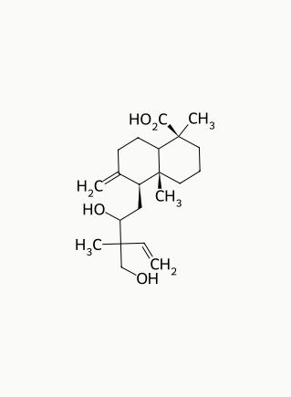 C=CC(C)(CO)C(O)C[C@H]1C(=C)CCC2[C@]1(C)CCC[C@]2(C)C(=O)O